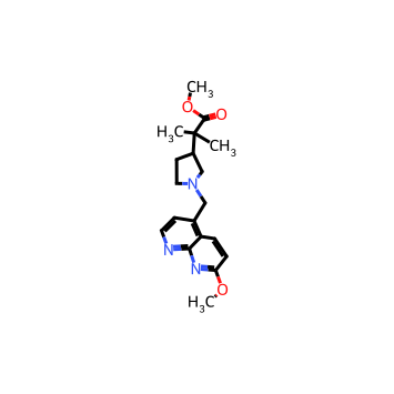 COC(=O)C(C)(C)C1CCN(Cc2ccnc3nc(OC)ccc23)C1